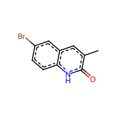 Cc1cc2cc(Br)ccc2[nH]c1=O